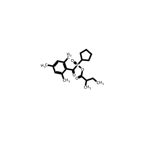 CCC(C)C(=O)OP(=O)(C(=O)c1c(C)cc(C)cc1C)C1CCCC1